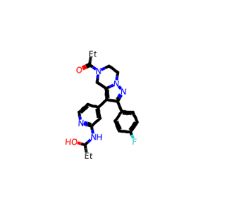 CCC(=O)N1CCn2nc(-c3ccc(F)cc3)c(-c3ccnc(NC(O)CC)c3)c2C1